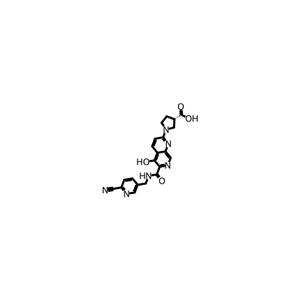 N#Cc1ccc(CNC(=O)c2ncc3nc(N4CC[C@H](C(=O)O)C4)ccc3c2O)cn1